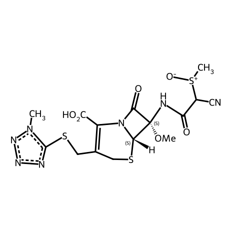 CO[C@@]1(NC(=O)C(C#N)[S+](C)[O-])C(=O)N2C(C(=O)O)=C(CSc3nnnn3C)CS[C@H]21